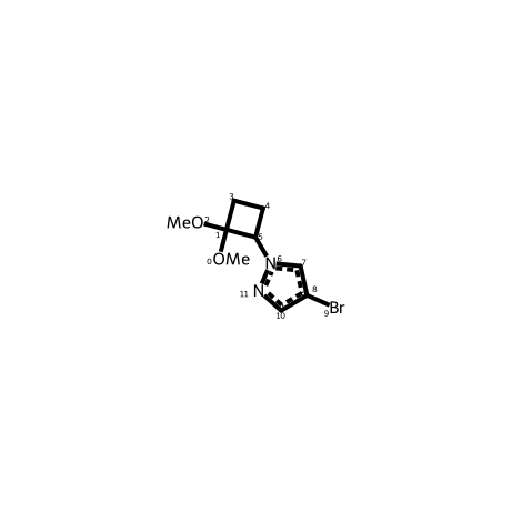 COC1(OC)CCC1n1cc(Br)cn1